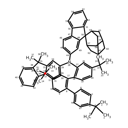 CC(C)(C)c1ccc(-c2ccc(C(C)(C)C)cc2-c2ccc(C(C)(C)C)cc2N(c2ccc3c(c2)C(C)(C)c2ccccc2-3)c2ccc3c(c2)C2(c4ccccc4-3)C3CC4CC(C3)CC2C4)cc1